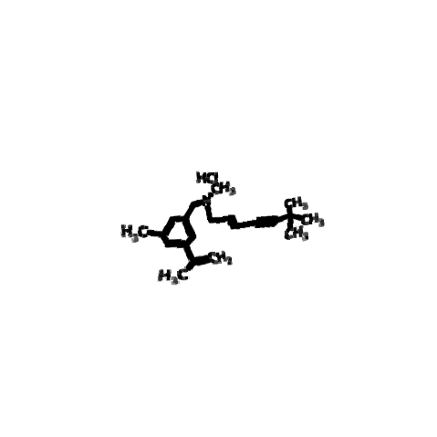 C=C(C)c1cc(C)cc(CN(C)CC=CC#CC(C)(C)C)c1.Cl